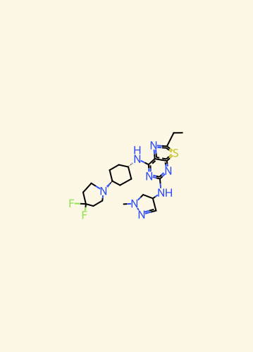 CCc1nc2c(N[C@H]3CC[C@H](N4CCC(F)(F)CC4)CC3)nc(NC3C=NN(C)C3)nc2s1